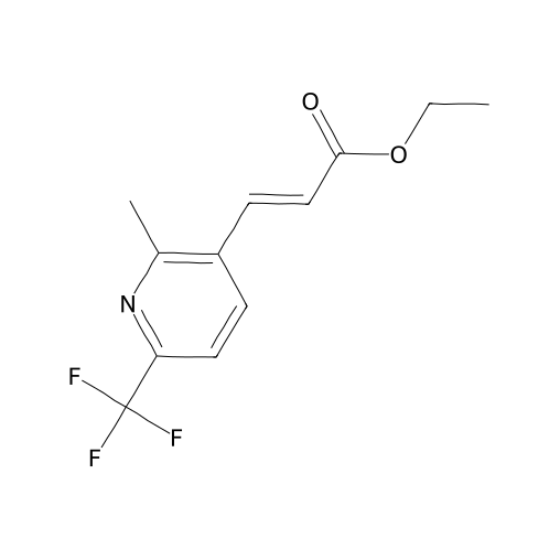 CCOC(=O)/C=C/c1ccc(C(F)(F)F)nc1C